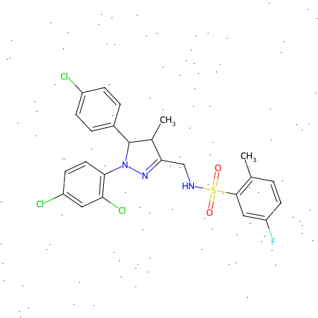 Cc1ccc(F)cc1S(=O)(=O)NCC1=NN(c2ccc(Cl)cc2Cl)C(c2ccc(Cl)cc2)C1C